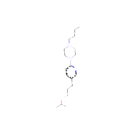 CCCCN1CCN(c2ccc(CCCOC(C)C)cn2)CC1